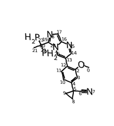 COc1cc(C2(C#N)CC2)ccc1-c1cnc2cnc(C(C)(P)P)n2c1